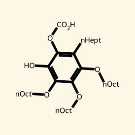 CCCCCCCCOc1c(O)c(OC(=O)O)c(CCCCCCC)c(OCCCCCCCC)c1OCCCCCCCC